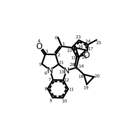 C/C(=C1\C(=O)CN2c3ccccc3N([C](C3CC3)C3CC3)C12)c1cc(C)oc1C